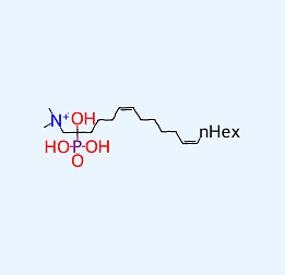 CCCCCC/C=C\CCCC/C=C\CCCC(O)(C[N+](C)(C)C)P(=O)(O)O